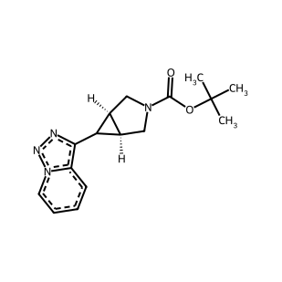 CC(C)(C)OC(=O)N1C[C@@H]2C(c3nnn4ccccc34)[C@@H]2C1